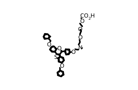 CN(CCCOCCOCCOCC(=O)O)CCOc1ccc(C(=O)c2c(-c3ccc(OCc4ccccc4)cc3)sc3cc(OCc4ccccc4)ccc23)cc1